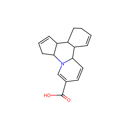 O=C(O)C1=CN2C(C=C1)C1C=CCCC1C1C=CCC12